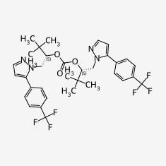 CC(C)(C)[C@@H](Cn1nccc1-c1ccc(C(F)(F)F)cc1)OC(=O)O[C@H](Cn1nccc1-c1ccc(C(F)(F)F)cc1)C(C)(C)C